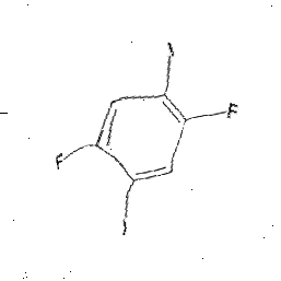 Fc1cc(I)c(F)cc1I